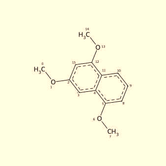 COc1[c]c2c(OC)cccc2c(OC)c1